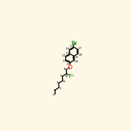 CCCCCCC(F)COc1ccc2cc(Br)ccc2c1